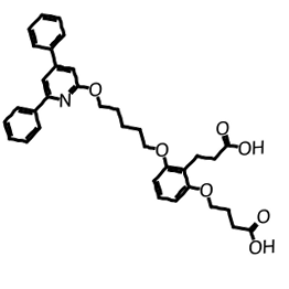 O=C(O)CCCOc1cccc(OCCCCCOc2cc(-c3ccccc3)cc(-c3ccccc3)n2)c1CCC(=O)O